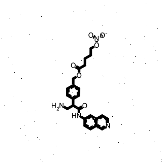 NCC(C(=O)Nc1ccc2cnccc2c1)c1ccc(COC(=O)CCCCO[N+](=O)[O-])cc1